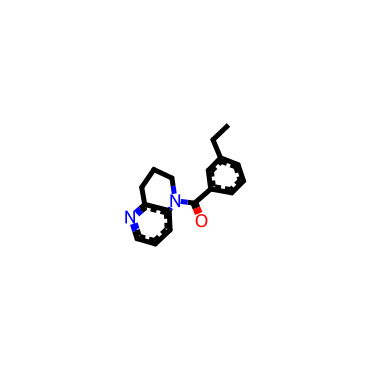 CCc1cccc(C(=O)N2CCCc3ncccc32)c1